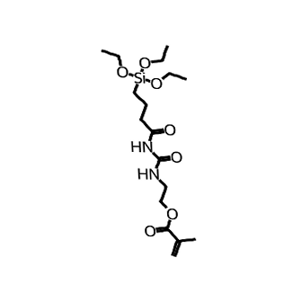 C=C(C)C(=O)OCCNC(=O)NC(=O)CCC[Si](OCC)(OCC)OCC